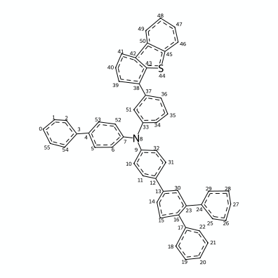 c1ccc(-c2ccc(N(c3ccc(-c4ccc(-c5ccccc5)c(-c5ccccc5)c4)cc3)c3cccc(-c4cccc5c4sc4ccccc45)c3)cc2)cc1